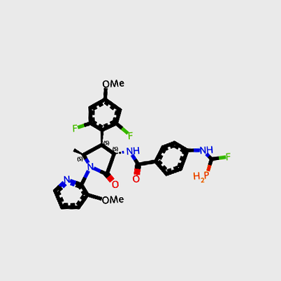 COc1cc(F)c([C@H]2[C@H](NC(=O)c3ccc(NC(F)P)cc3)C(=O)N(c3ncccc3OC)[C@H]2C)c(F)c1